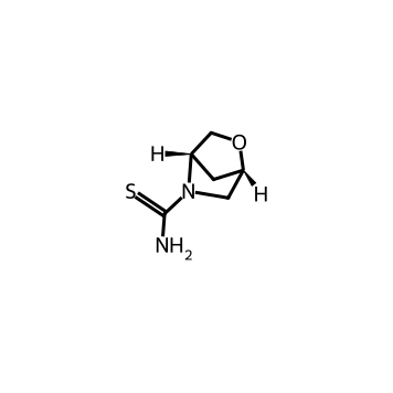 NC(=S)N1C[C@@H]2C[C@H]1CO2